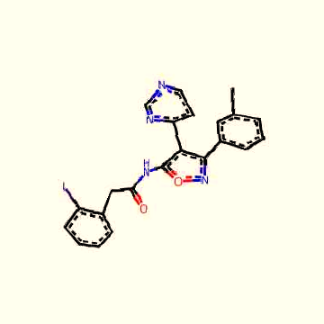 Cc1cccc(-c2noc(NC(=O)Cc3ccccc3I)c2-c2ccncn2)c1